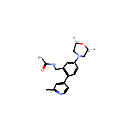 Cc1cc(-c2ccc(N3C[C@@H](C)O[C@@H](C)C3)cc2CNC(=O)C(C)C)ccn1